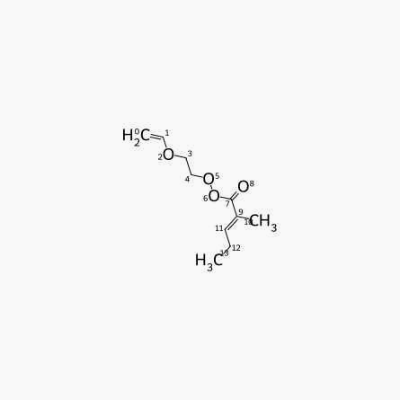 C=COCCOOC(=O)C(C)=CCC